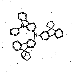 c1ccc(-n2c3ccccc3c3ccc(N(c4ccc5c(c4)-c4ccccc4C54C5CCC6C(C5)CC64)c4ccc5c(c4)C4(CCCC4)c4ccccc4-5)cc32)cc1